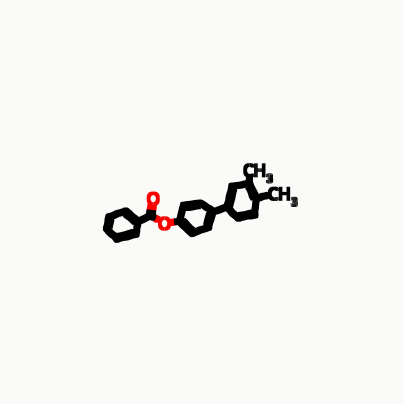 Cc1ccc(-c2ccc(OC(=O)c3ccccc3)cc2)cc1C